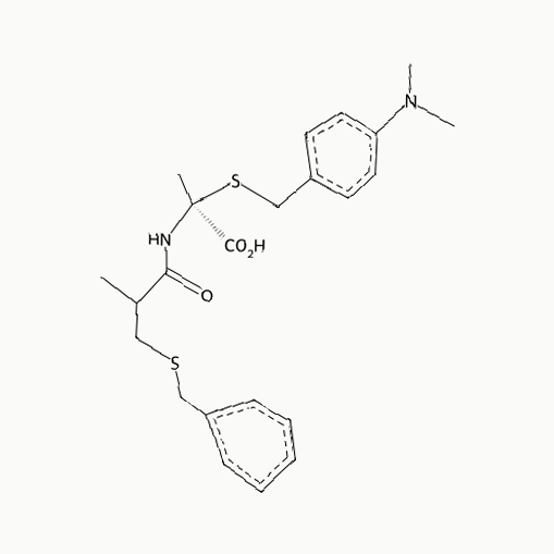 CC(CSCc1ccccc1)C(=O)N[C@@](C)(SCc1ccc(N(C)C)cc1)C(=O)O